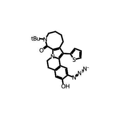 CC(C)(C)N1CCCCc2c(-c3cccs3)c3n(c2C1=O)CCc1cc(O)c(N=[N+]=[N-])cc1-3